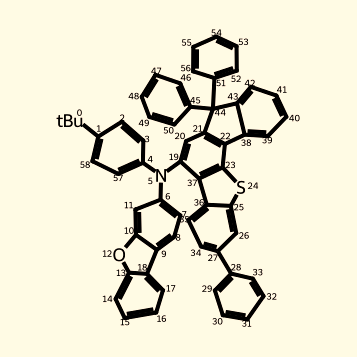 CC(C)(C)c1ccc(N(c2ccc3c(c2)oc2ccccc23)c2cc3c(c4sc5cc(-c6ccccc6)ccc5c24)-c2ccccc2C3(c2ccccc2)c2ccccc2)cc1